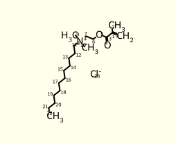 C=C(C)C(=O)OCC[N+](C)(C)CCCCCCCCCCCC.[Cl-]